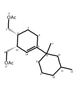 CC(=O)OC[C@@H]1CCC(C2(C)CCCC(C)C2)=C[C@@H]1COC(C)=O